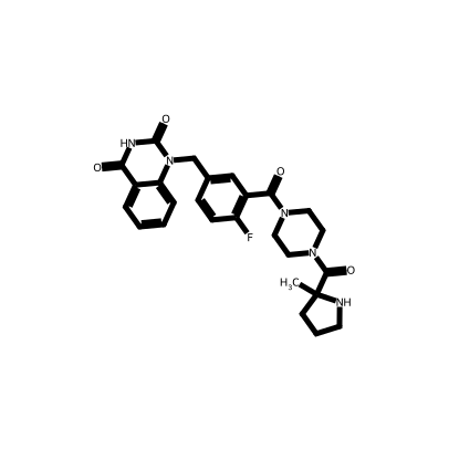 CC1(C(=O)N2CCN(C(=O)c3cc(Cn4c(=O)[nH]c(=O)c5ccccc54)ccc3F)CC2)CCCN1